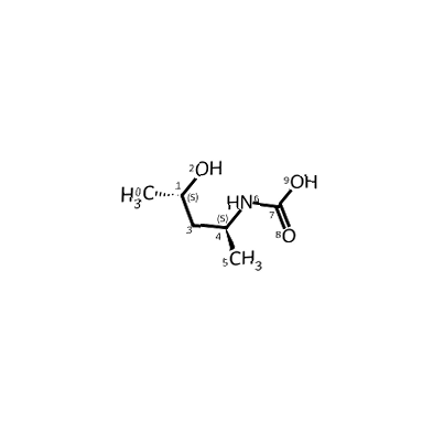 C[C@H](O)C[C@H](C)NC(=O)O